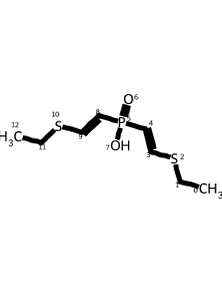 CCSC=CP(=O)(O)C=CSCC